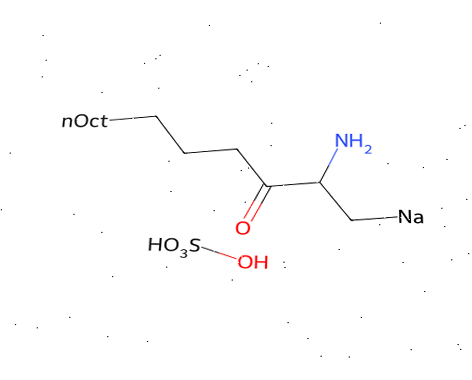 CCCCCCCCCCCC(=O)C(N)[CH2][Na].O=S(=O)(O)O